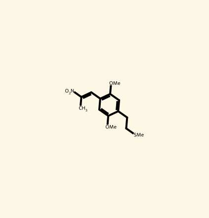 COc1cc(CCSC)c(OC)cc1C=C(C)[N+](=O)[O-]